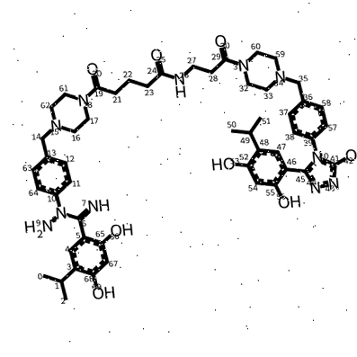 CC(C)c1cc(C(=N)N(N)c2ccc(CN3CCN(C(=O)CCCC(=O)NCCC(=O)N4CCN(Cc5ccc(-n6c(O)nnc6-c6cc(C(C)C)c(O)cc6O)cc5)CC4)CC3)cc2)c(O)cc1O